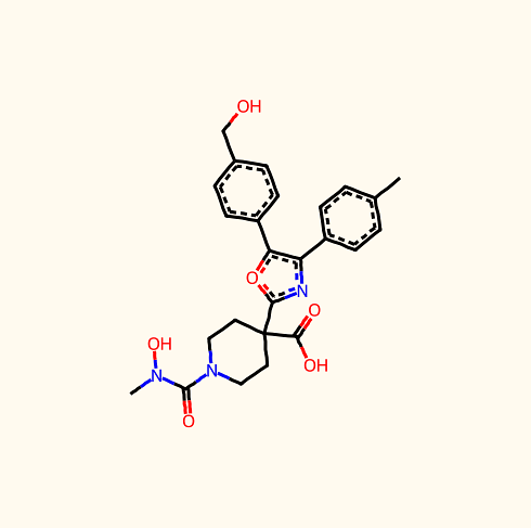 Cc1ccc(-c2nc(C3(C(=O)O)CCN(C(=O)N(C)O)CC3)oc2-c2ccc(CO)cc2)cc1